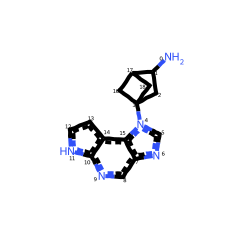 NC1CC2(n3cnc4cnc5[nH]ccc5c43)CC1C2